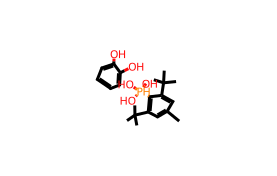 Cc1cc(C(C)(C)C)c([PH](O)(O)O)c(C(C)(C)C)c1.Oc1ccccc1O